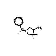 C[C@H](c1ccccc1)N1CC(N)C(C)(C)C1